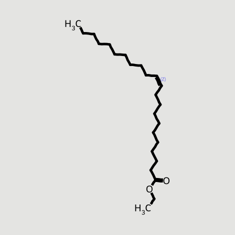 CCCCCCCCCC/C=C\CCCCCCCCCC(=O)OCC